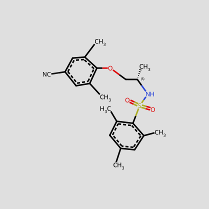 Cc1cc(C)c(S(=O)(=O)N[C@@H](C)COc2c(C)cc(C#N)cc2C)c(C)c1